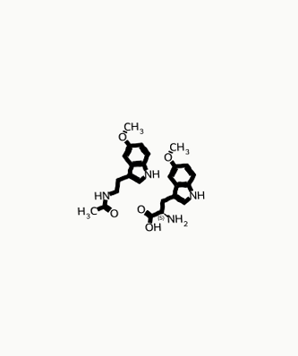 COc1ccc2[nH]cc(CCNC(C)=O)c2c1.COc1ccc2[nH]cc(C[C@H](N)C(=O)O)c2c1